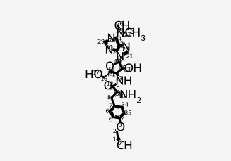 C#CCOc1ccc(C[C@H](N)C(=O)NC2[C@@H](CO)O[C@@H](n3cnc4c(N(C)C)ncnc43)[C@H]2O)cc1